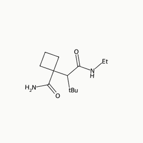 CCNC(=O)C(C(C)(C)C)C1(C(N)=O)CCC1